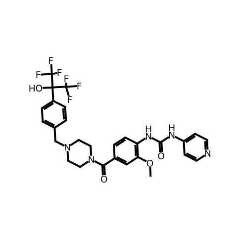 COc1cc(C(=O)N2CCN(Cc3ccc(C(O)(C(F)(F)F)C(F)(F)F)cc3)CC2)ccc1NC(=O)Nc1ccncc1